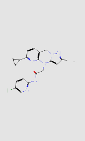 CC(C)(C)c1cc2n(n1)Cc1ccc(C3CC3)nc1N2CC(=O)Nc1ccc(F)cn1